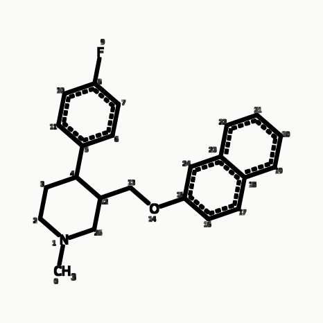 CN1CCC(c2ccc(F)cc2)C(COc2ccc3ccccc3c2)C1